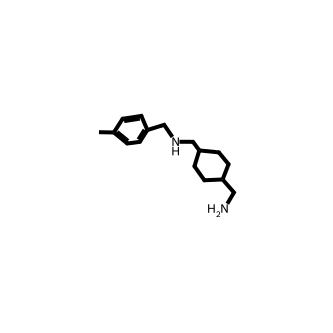 Cc1ccc(CNCC2CCC(CN)CC2)cc1